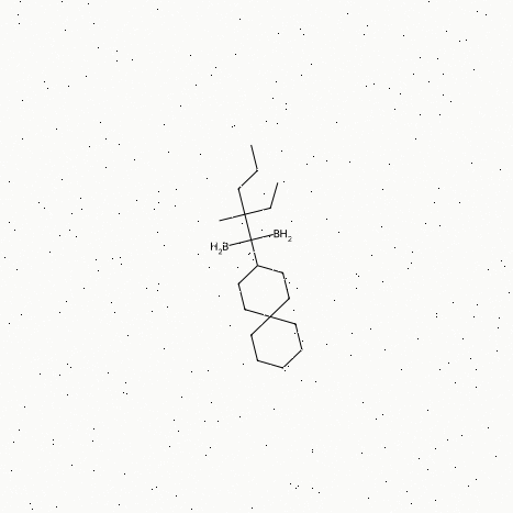 BC(B)(C1CCC2(CCCCC2)CC1)C(C)(CC)CCC